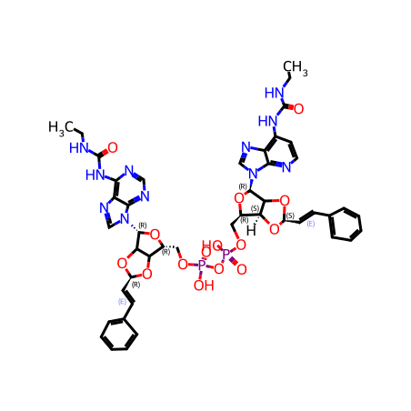 CCNC(=O)Nc1ncnc2c1ncn2[C@@H]1O[C@H](COP(=O)(O)OP(=O)(O)OC[C@H]2O[C@@H](n3cnc4c(NC(=O)NCC)ccnc43)C3O[C@@H](/C=C/c4ccccc4)O[C@H]32)C2O[C@@H](/C=C/c3ccccc3)OC21